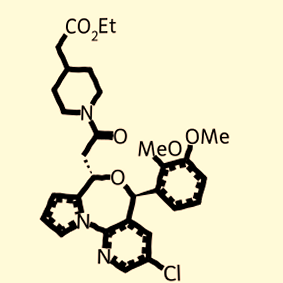 CCOC(=O)CC1CCN(C(=O)C[C@@H]2O[C@@H](c3cccc(OC)c3OC)c3cc(Cl)cnc3-n3cccc32)CC1